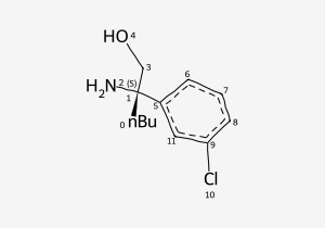 CCCC[C@@](N)(CO)c1cccc(Cl)c1